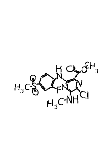 CNc1nc(Nc2ccc(S(C)(=O)=O)cc2F)c(C(=O)OC)nc1Cl